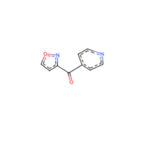 O=C(c1ccncc1)c1ccon1